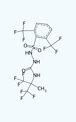 CC(NC(=O)NNS(=O)(=O)c1c(C(F)(F)F)cccc1C(F)(F)F)(C(F)(F)F)C(F)(F)F